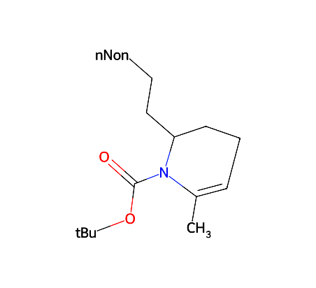 CCCCCCCCCCCC1CCC=C(C)N1C(=O)OC(C)(C)C